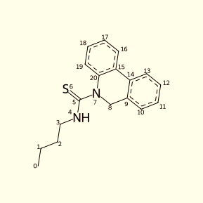 CCCCNC(=S)N1Cc2ccccc2-c2ccccc21